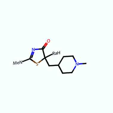 CNC1=NC(=O)[C]([RaH])(CC2CCN(C)CC2)S1